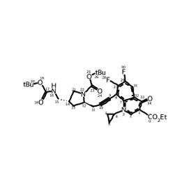 CCOC(=O)c1cn(C2CC2)c2c(C#CC[C@H]3C[C@H](CNC(=O)OC(C)(C)C)CN3C(=O)OC(C)(C)C)c(F)c(F)cc2c1=O